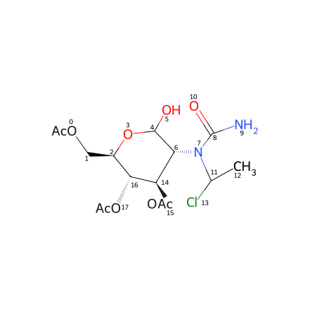 CC(=O)OC[C@H]1OC(O)[C@H](N(C(N)=O)C(C)Cl)[C@@H](OC(C)=O)[C@@H]1OC(C)=O